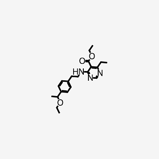 CCOC(=O)c1c(CC)ncnc1NCCc1ccc(C(C)OCC)cc1